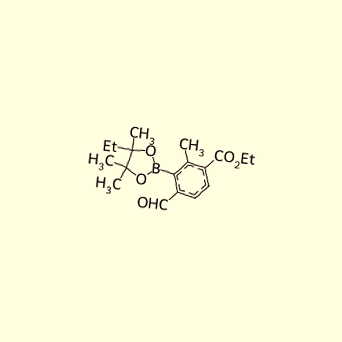 CCOC(=O)c1ccc(C=O)c(B2OC(C)(C)C(C)(CC)O2)c1C